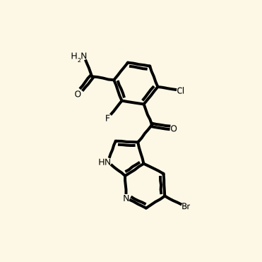 NC(=O)c1ccc(Cl)c(C(=O)c2c[nH]c3ncc(Br)cc23)c1F